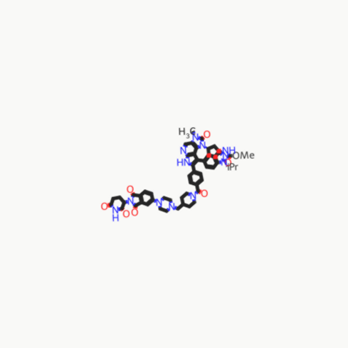 COC(=O)N[C@@H]1CC[C@@H](n2c(=O)n(C)c3cnc4[nH]c(-c5ccc(C(=O)N6CCC(CN7CCN(c8ccc9c(c8)C(=O)N(C8CCC(=O)NC8=O)C9=O)CC7)CC6)cc5)c(-c5ccc6c(cnn6C(C)C)c5)c4c32)C1